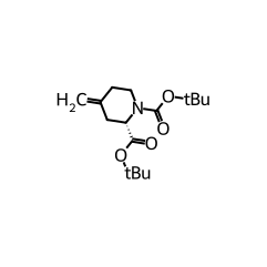 C=C1CCN(C(=O)OC(C)(C)C)[C@H](C(=O)OC(C)(C)C)C1